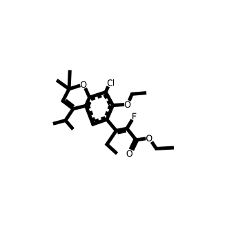 CCOC(=O)C(F)=C(CC)c1cc2c(c(Cl)c1OCC)OC(C)(C)C=C2C(C)C